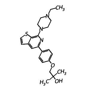 CCN1CCN(c2nc(-c3ccc(OCC(C)(C)O)cc3)cc3ccsc23)CC1